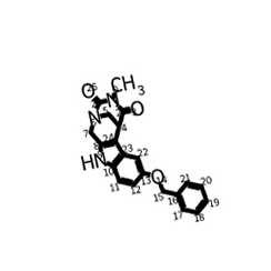 CN1C(=O)C2CN(Cc3[nH]c4ccc(OCc5ccccc5)cc4c32)C1=O